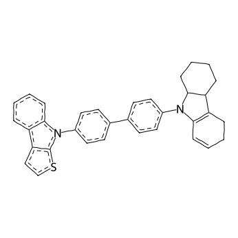 C1=CC2=C(CC1)C1CCCCC1N2c1ccc(-c2ccc(-n3c4ccccc4c4ccsc43)cc2)cc1